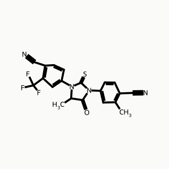 Cc1cc(N2C(=O)C(C)N(c3ccc(C#N)c(C(F)(F)F)c3)C2=S)ccc1C#N